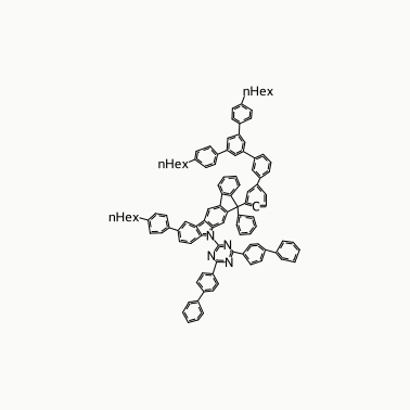 CCCCCCc1ccc(-c2cc(-c3ccc(CCCCCC)cc3)cc(-c3cccc(-c4cccc(C5(c6ccccc6)c6ccccc6-c6cc7c8cc(-c9ccc(CCCCCC)cc9)ccc8n(-c8nc(-c9ccc(-c%10ccccc%10)cc9)nc(-c9ccc(-c%10ccccc%10)cc9)n8)c7cc65)c4)c3)c2)cc1